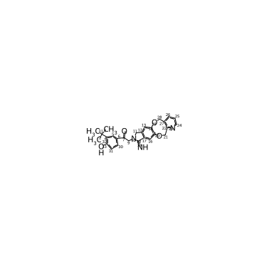 CC(C)(C)c1cc(C(=O)CN2Cc3cc4c(cc3C2=N)OCc2ncccc2CO4)ccc1O